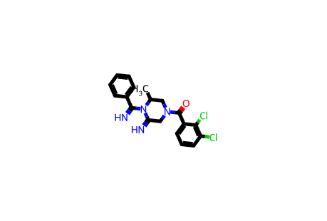 CC1CN(C(=O)c2cccc(Cl)c2Cl)CC(=N)N1C(=N)c1ccccc1